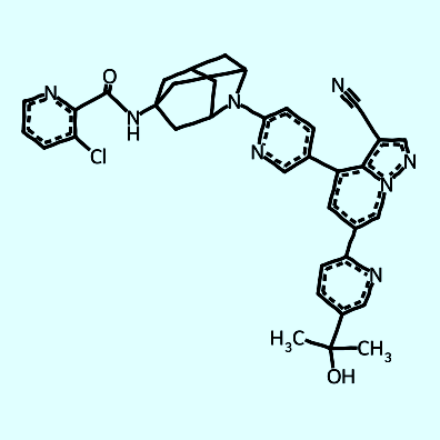 CC(C)(O)c1ccc(-c2cc(-c3ccc(N4C5CC6CC4CC(NC(=O)c4ncccc4Cl)(C6)C5)nc3)c3c(C#N)cnn3c2)nc1